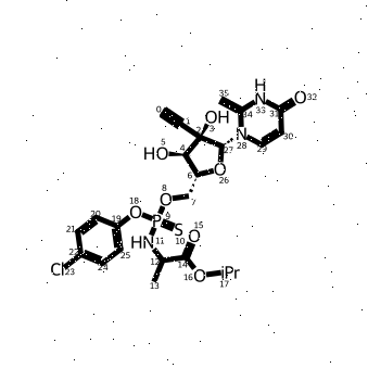 C#C[C@@]1(O)[C@H](O)[C@@H](COP(=S)(NC(C)C(=O)OC(C)C)Oc2ccc(Cl)cc2)O[C@H]1N1C=CC(=O)NC1=C